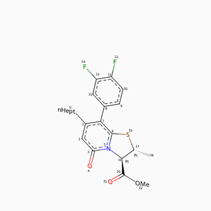 CCCCCCCc1cc(=O)n2c(c1-c1ccc(F)c(F)c1)S[C@H](C)[C@H]2C(=O)OC